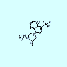 C[C@H]1C[C@@H](N)CN(c2ccc(C(F)(F)F)c3nccnc23)C1